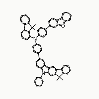 CC1(C)c2ccccc2-c2cc3c4cc(-c5ccc(N(c6ccc(-c7ccc8c(c7)oc7ccccc78)cc6)c6cccc7c6C(C)(C)c6ccccc6-7)cc5)ccc4n(-c4ccccc4)c3cc21